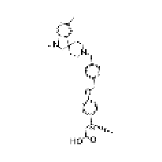 CC#C[C@@H](CC(=O)O)c1ccc(OCc2ccc(CN3CCC4(CC3)CN(C)c3ccc(C)cc34)cc2)cc1